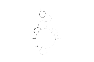 O=C1NS(=O)(=O)[C@H]2CCCCC2CCC[C@H](O)[C@@H]2CC[C@H]2CN2C[C@@]3(CCCc4cc(Cl)ccc43)COc3ccc1cc32